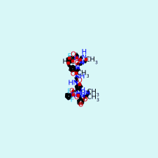 CN[C@@H](C)C(=O)NC(C(=O)N1Cc2ccc(NC(=O)CNC(=O)C3(C)CN(C(=O)CN4C[C@@H](C)NC[C@@H]4CN4CCOC[C@H]4C)c4cc(Cc5ccc(F)cc5)ccc43)cc2[C@H]1C(=O)Nc1c(F)cccc1F)C1CCOCC1